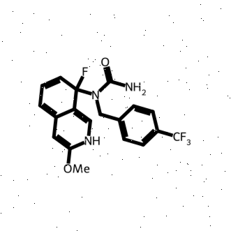 COC1=CC2=CC=CC(F)(N(Cc3ccc(C(F)(F)F)cc3)C(N)=O)C2=CN1